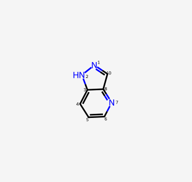 [c]1n[nH]c2cccnc12